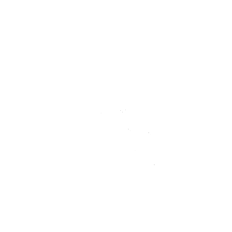 O=C(Nc1ncc(Br)s1)Nc1ccc(Cl)cc1C(=O)C1CCCC1